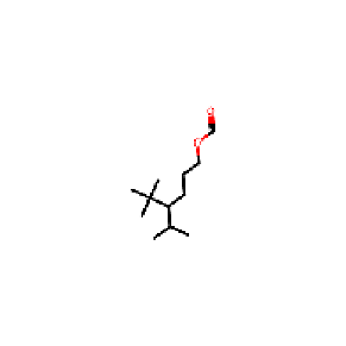 CC(C)C(CCCOC=O)C(C)(C)C